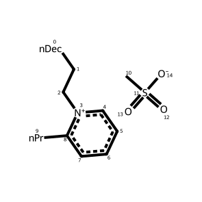 CCCCCCCCCCCC[n+]1ccccc1CCC.CS(=O)(=O)[O-]